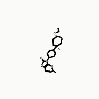 CCO[C@H]1CC[C@](C)(C2CCC(n3c(=O)oc4ccc(C)nc43)CC2)CC1